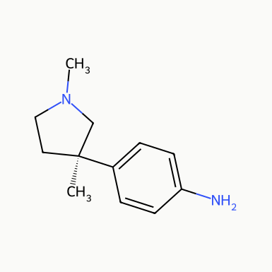 CN1CC[C@](C)(c2ccc(N)cc2)C1